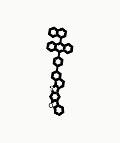 c1ccc2c(-c3c4ccccc4c(-c4ccc(-c5ccc6c(ccc7c8cc9c(cc8sc67)oc6ccccc69)c5)cc4)c4ccccc34)cccc2c1